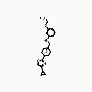 CCOc1cccc(NCC23CCC(c4nc(C5CC5)no4)(CC2)CC3)c1